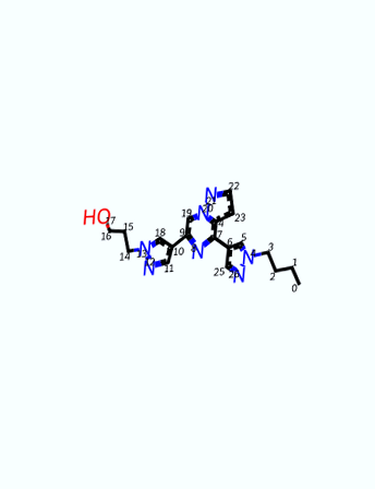 CCCCn1cc(-c2nc(-c3cnn(CCCO)c3)cn3nccc23)cn1